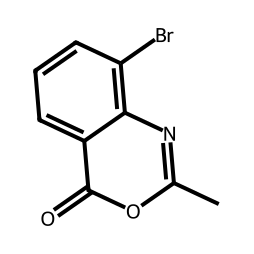 Cc1nc2c(Br)cccc2c(=O)o1